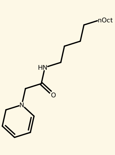 CCCCCCCCCCCCNC(=O)CN1C=CC=CC1